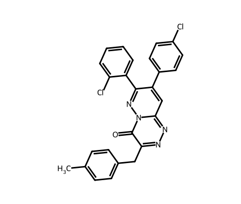 Cc1ccc(Cc2nnc3cc(-c4ccc(Cl)cc4)c(-c4ccccc4Cl)nn3c2=O)cc1